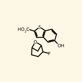 FC1CCC2CC1O2.O=C(O)c1cc2cc(O)ccc2s1